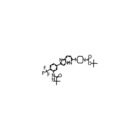 CC(C)(C)OC(=O)N1CCN(c2ccc3nc(-c4ccc(C(F)(F)F)c(NC(=O)C(C)(C)C)c4)cn3n2)CC1